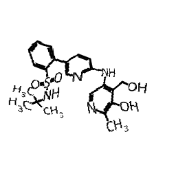 Cc1ncc(Nc2ccc(-c3ccccc3S(=O)(=O)NC(C)(C)C)cn2)c(CO)c1O